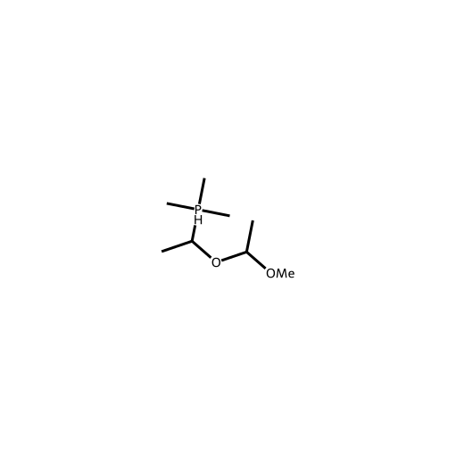 COC(C)OC(C)[PH](C)(C)C